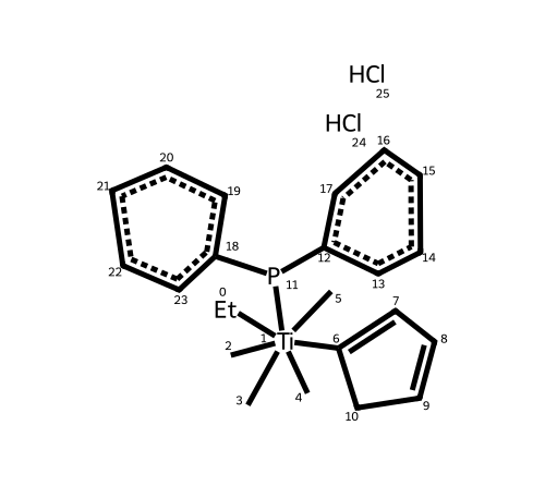 C[CH2][Ti]([CH3])([CH3])([CH3])([CH3])([C]1=CC=CC1)[P](c1ccccc1)c1ccccc1.Cl.Cl